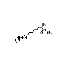 CCC(CCCCCCCNNN)C(=O)OC(C)(C)C